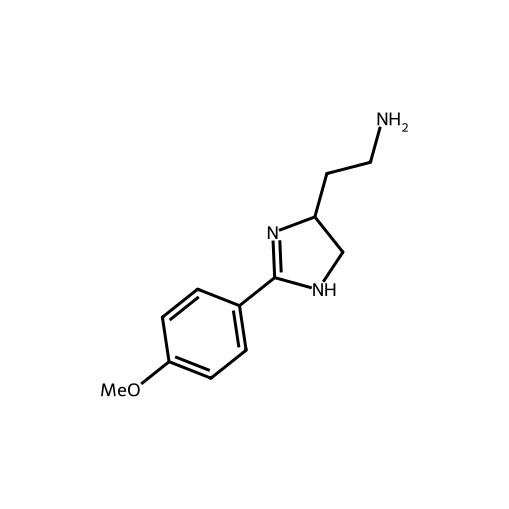 COc1ccc(C2=NC(CCN)CN2)cc1